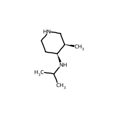 CC(C)N[C@H]1CCNC[C@H]1C